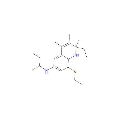 CCSc1cc(NC(C)CC)cc2c1NC(C)(CC)C(C)=C2C